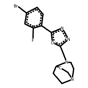 Fc1cc(Br)ccc1-c1nnc(N2CCN3CCC2CC3)o1